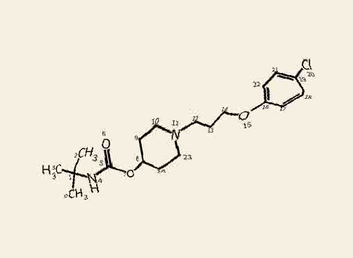 CC(C)(C)NC(=O)OC1CCN(CCCOc2ccc(Cl)cc2)CC1